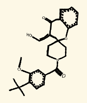 COc1cc(C(=O)N2CCC3(CC2)Oc2ccccc2C(=O)/C3=C\O)ccc1C(C)(C)C